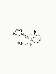 OC[C@H]1[C@@H]2CC=CC[C@H]2C[C@@H]1n1cncn1